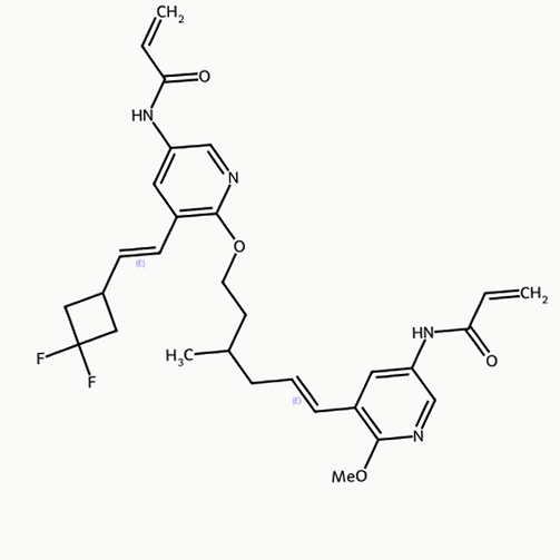 C=CC(=O)Nc1cnc(OC)c(/C=C/CC(C)CCOc2ncc(NC(=O)C=C)cc2/C=C/C2CC(F)(F)C2)c1